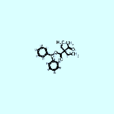 CCC(CC)(C(C)=O)C(=O)OP(c1ccccc1)c1ccccc1